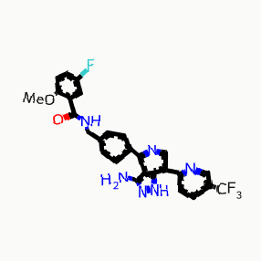 COc1ccc(F)cc1C(=O)NCc1ccc(-c2ncc(-c3ccc(C(F)(F)F)cn3)c3[nH]nc(N)c23)cc1